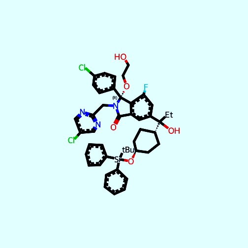 CCC(O)(c1cc(F)c2c(c1)C(=O)N(Cc1ncc(Cl)cn1)[C@@]2(OCCO)c1ccc(Cl)cc1)[C@H]1CC[C@H](O[Si](c2ccccc2)(c2ccccc2)C(C)(C)C)CC1